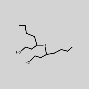 CCCCC(CCO)OC(CCO)CCCC